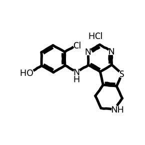 Cl.Oc1ccc(Cl)c(Nc2ncnc3sc4c(c23)CCNC4)c1